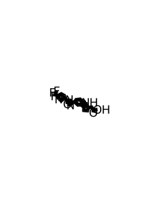 O=C(O)CC1CCc2c1[nH]c1ccc(-c3noc(-c4ccc(C(F)(F)F)nc4)n3)cc21